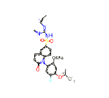 C=N/C(=N\C=C/C)NS(=O)(=O)c1ccc2c(ccc(=O)n2-c2cc(F)c(O[C@@H](C)C(F)(F)F)cc2OC)c1